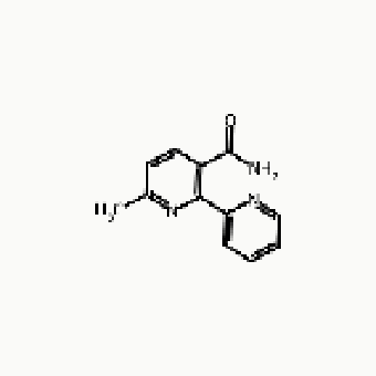 Cc1ccc(C(N)=O)c(-c2ccccn2)n1